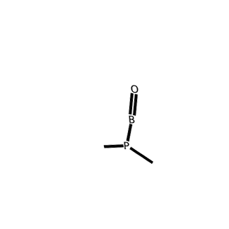 CP(C)B=O